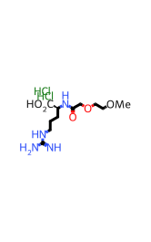 COCCOCC(=O)N[C@@H](CCCNC(=N)N)C(=O)O.Cl.Cl